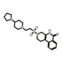 O=c1[nH]c2c(c3ccccc13)CCN(S(=O)(=O)CCN1CCC(N3CCCC3)CC1)C2